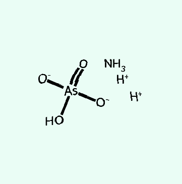 N.O=[As]([O-])([O-])O.[H+].[H+]